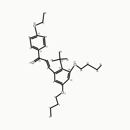 CCCCOc1cc(C=CC(=O)c2ccc(OCC)cc2)c(C(C)(C)C)c(OCCCC)c1